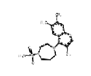 Cc1cc2ncc(C)c(N3CCCN(S(N)(=O)=O)CC3)c2cc1C